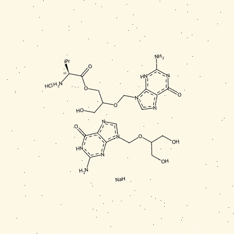 CC(C)[C@H](N)C(=O)OCC(CO)OCn1cnc2c(=O)nc(N)[nH]c21.Cl.Nc1nc2c(ncn2COC(CO)CO)c(=O)[nH]1.[NaH]